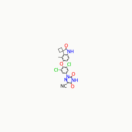 Cc1c(Oc2c(Cl)cc(-n3nc(C#N)c(=O)[nH]c3=O)cc2Cl)ccc2c1C1(CCC1)C(=O)N2